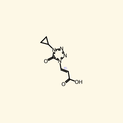 O=C(O)/C=C/n1nnn(C2CC2)c1=O